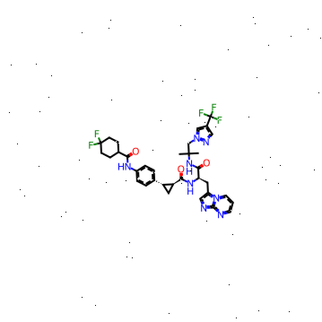 CC(C)(Cn1cc(C(F)(F)F)cn1)NC(=O)[C@@H](Cc1cnc2ncccn12)NC(=O)[C@H]1C[C@@H]1c1ccc(NC(=O)C2CCC(F)(F)CC2)cc1